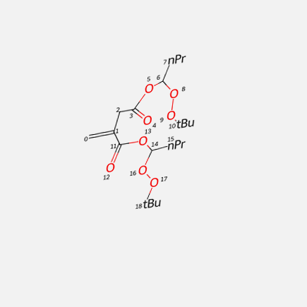 C=C(CC(=O)OC(CCC)OOC(C)(C)C)C(=O)OC(CCC)OOC(C)(C)C